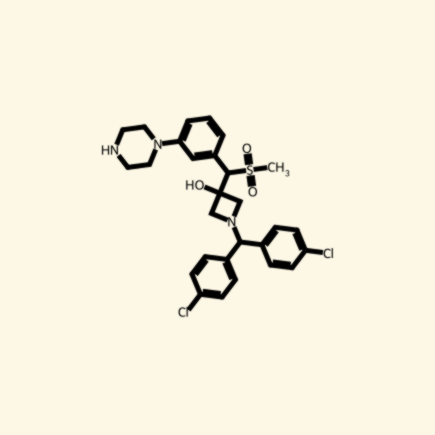 CS(=O)(=O)C(c1cccc(N2CCNCC2)c1)C1(O)CN(C(c2ccc(Cl)cc2)c2ccc(Cl)cc2)C1